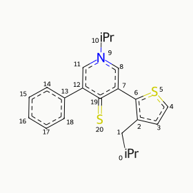 CC(C)Cc1ccsc1-c1cn(C(C)C)cc(-c2ccccc2)c1=S